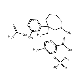 CCC1(c2cccc(O)c2)CCCCN(C)C1.CS(=O)(=O)O.NC(=O)O.Nc1ccc(C(=O)O)cc1